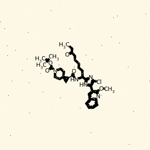 CCC(=O)CCCCCC(NC(=O)[C@H]1CC12CCN(C(=O)OC(C)(C)C)CC2)c1nc(Cl)c(-c2cc3ccccc3nc2OC)[nH]1